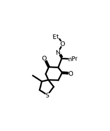 CCCC(=NOCC)C1C(=O)CC2(CSCC2C)CC1=O